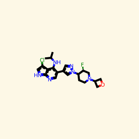 CC(C)Nc1c(-c2cnn(C3CCN(C4COC4)C[C@@H]3F)c2)cnc2[nH]cc(Cl)c12